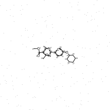 COC(=O)c1c(C)nc(-c2ccc(OC3CCCCC3)cc2)nc1C